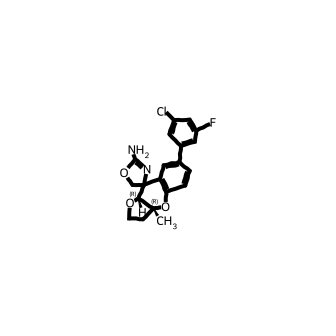 C[C@@]12CCO[C@@H]1C1(COC(N)=N1)c1cc(-c3cc(F)cc(Cl)c3)ccc1O2